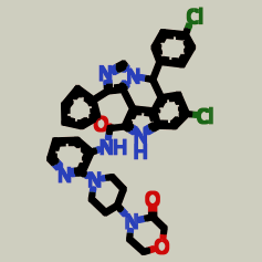 O=C(Nc1cccnc1N1CCC(N2CCOCC2=O)CC1)c1[nH]c2cc(Cl)cc3c2c1-c1c(-c2ccccc2)ncn1C3c1ccc(Cl)cc1